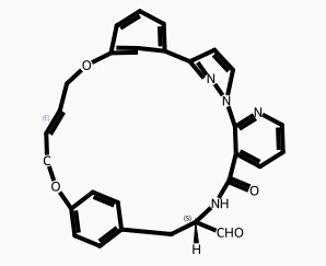 O=C[C@@H]1Cc2ccc(cc2)OC/C=C/COc2cccc(c2)-c2ccn(n2)-c2ncccc2C(=O)N1